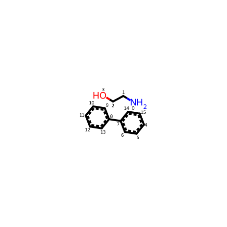 NCCO.c1ccc(-c2ccccc2)cc1